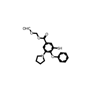 O=COCOC(=O)c1cc(S)c(Oc2ccccc2)c(N2CCCC2)c1